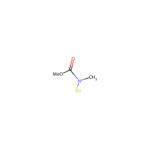 COC(=O)N(C)S